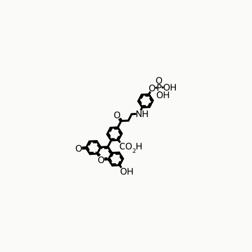 O=C(CCNc1ccc(OP(=O)(O)O)cc1)c1ccc(-c2c3ccc(=O)cc-3oc3cc(O)ccc23)c(C(=O)O)c1